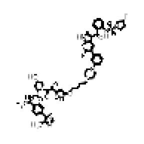 Cc1ncsc1-c1ccc(C(C)NC(=O)[C@@H]2C[C@@H](O)CN2C(=O)C(c2cc(OCCCCN3CCN(c4cccc(-c5cc6c(C(=O)c7ccccc7NS(=O)(=O)N7CC[C@@H](F)C7)c(F)[nH]c6nc5F)c4)CC3)no2)C(C)C)cc1